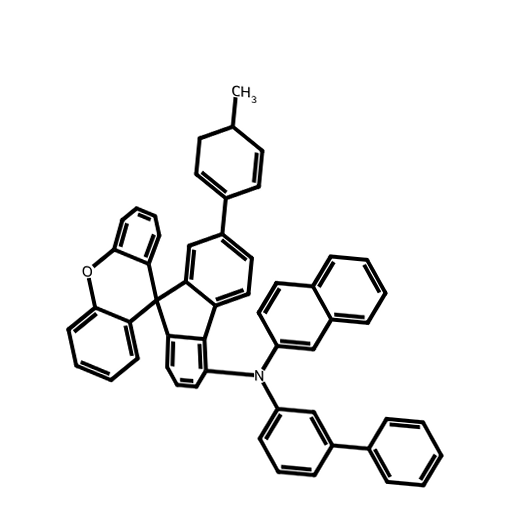 CC1C=CC(c2ccc3c(c2)C2(c4ccccc4Oc4ccccc42)c2cccc(N(c4cccc(-c5ccccc5)c4)c4ccc5ccccc5c4)c2-3)=CC1